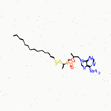 CCCCCCCCCCCCCCSSC(C)[PH](=O)COC(C)Cn1cnc2c(N)ncnc21